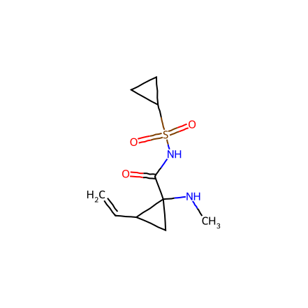 C=CC1CC1(NC)C(=O)NS(=O)(=O)C1CC1